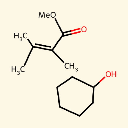 COC(=O)C(C)=C(C)C.OC1CCCCC1